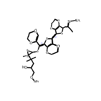 CCCOCC(O)CC(C)(C)[C@]1(C)SC1S/C(C1=COCCO1)=c1/s/c(=C2/SC(C(C)SCC)C3=C2OCCO3)c2c1OCCO2